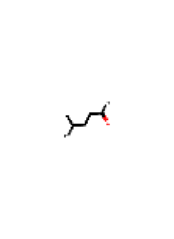 CCC(=O)CCC(C)C(C)C